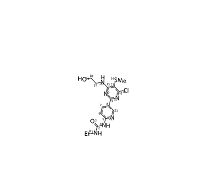 CCNC(=O)Nc1ccc(-c2nc(Cl)c(SC)c(NCCO)n2)cn1